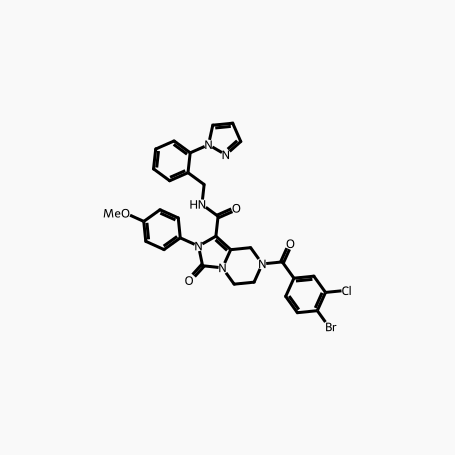 COc1ccc(-n2c(C(=O)NCc3ccccc3-n3cccn3)c3n(c2=O)CCN(C(=O)c2ccc(Br)c(Cl)c2)C3)cc1